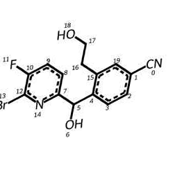 N#Cc1ccc(C(O)c2ccc(F)c(Br)n2)c(CCO)c1